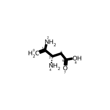 C=C(N)[C@@H](N)CC(=O)O